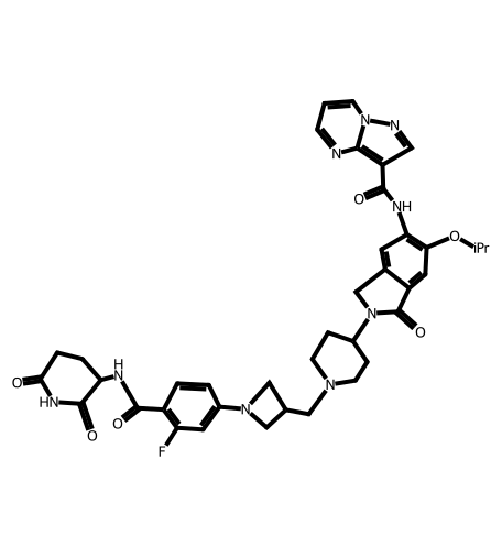 CC(C)Oc1cc2c(cc1NC(=O)c1cnn3cccnc13)CN(C1CCN(CC3CN(c4ccc(C(=O)NC5CCC(=O)NC5=O)c(F)c4)C3)CC1)C2=O